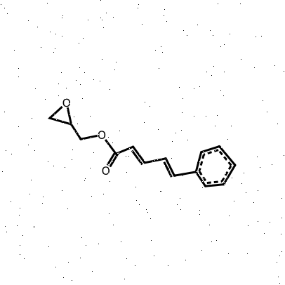 O=C(C=CC=Cc1ccccc1)OCC1CO1